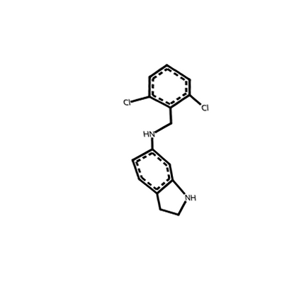 Clc1cccc(Cl)c1CNc1ccc2c(c1)NCC2